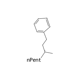 CCCCC[C](C)CCc1ccccc1